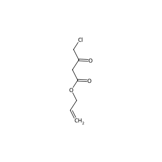 C=CCOC(=O)CC(=O)CCl